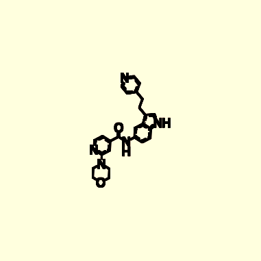 O=C(Nc1ccc2[nH]cc(CCc3ccncc3)c2c1)c1ccnc(N2CCOCC2)c1